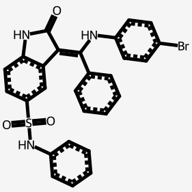 O=C1Nc2ccc(S(=O)(=O)Nc3ccccc3)cc2/C1=C(/Nc1ccc(Br)cc1)c1ccccc1